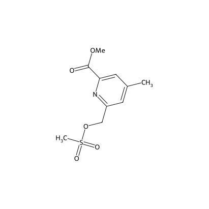 COC(=O)c1cc(C)cc(COS(C)(=O)=O)n1